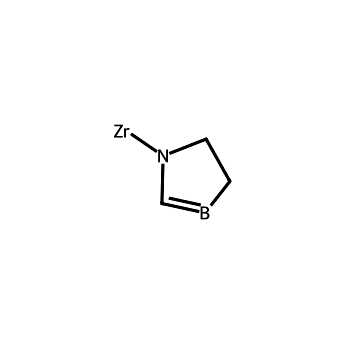 [Zr][N]1C=BCC1